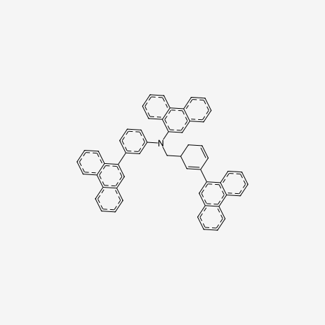 C1=CC(c2cc3ccccc3c3ccccc23)=CC(CN(c2cccc(-c3cc4ccccc4c4ccccc34)c2)c2cc3ccccc3c3ccccc23)C1